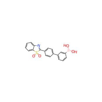 O=S1(=O)C(c2ccc(-c3cccc(B(O)O)c3)cc2)=Nc2ccccc21